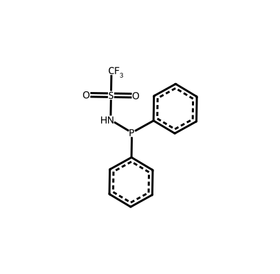 O=S(=O)(NP(c1ccccc1)c1ccccc1)C(F)(F)F